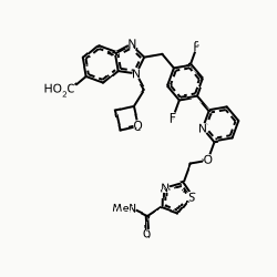 CNC(=O)c1csc(COc2cccc(-c3cc(F)c(Cc4nc5ccc(C(=O)O)cc5n4CC4CCO4)cc3F)n2)n1